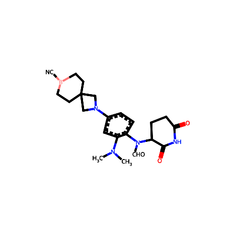 CN(C)c1cc(N2CC3(CCB(C#N)CC3)C2)ccc1N(C=O)C1CCC(=O)NC1=O